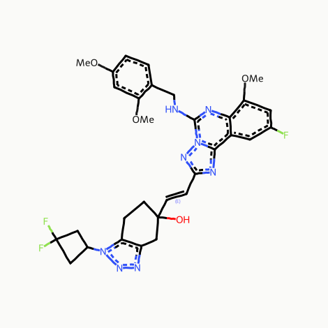 COc1ccc(CNc2nc3c(OC)cc(F)cc3c3nc(/C=C/C4(O)CCc5c(nnn5C5CC(F)(F)C5)C4)nn23)c(OC)c1